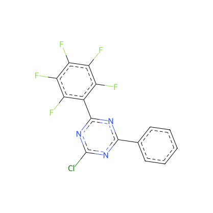 Fc1c(F)c(F)c(-c2nc(Cl)nc(-c3ccccc3)n2)c(F)c1F